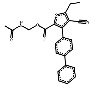 CCc1sc(C(=O)OCNC(C)=O)c(-c2ccc(-c3ccccc3)cc2)c1C#N